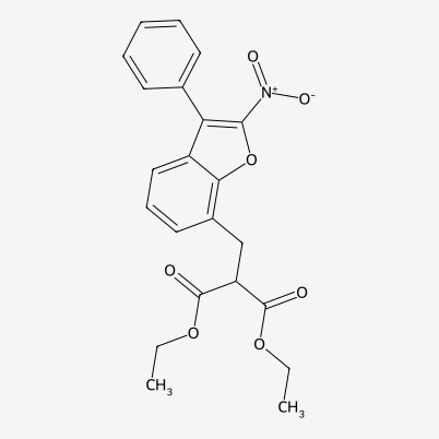 CCOC(=O)C(Cc1cccc2c(-c3ccccc3)c([N+](=O)[O-])oc12)C(=O)OCC